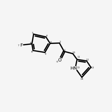 O=C(Cc1ccc(F)cc1)Cc1ccc[nH]1